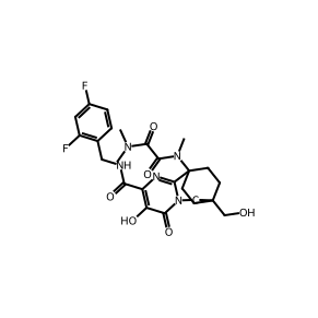 CN(C)C(=O)C(=O)N(C)C12CCC(CO)(CC1)Cn1c2nc(C(=O)NCc2ccc(F)cc2F)c(O)c1=O